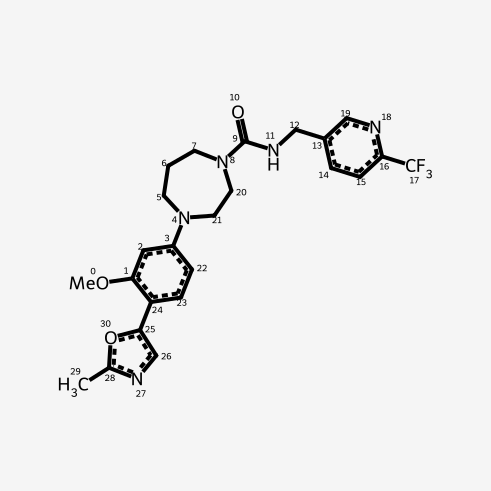 COc1cc(N2CCCN(C(=O)NCc3ccc(C(F)(F)F)nc3)CC2)ccc1-c1cnc(C)o1